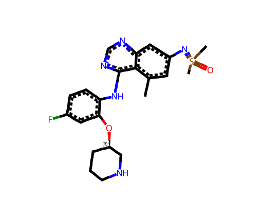 Cc1cc(N=S(C)(C)=O)cc2ncnc(Nc3ccc(F)cc3O[C@@H]3CCCNC3)c12